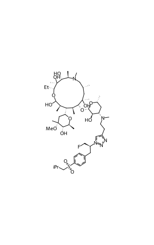 CC[C@H]1OC(O)[C@H](C)[C@@H](C2C[C@@](C)(OC)[C@@H](O)[C@H](C)O2)[C@H](C)[C@@H](O[C@@H]2O[C@H](C)C[C@H](N(C)CCc3cn([C@H](CF)Cc4ccc(S(=O)(=O)CC(C)C)cc4)nn3)[C@H]2O)[C@](C)(O)C[C@@H](C)CN(C)[C@H](C)[C@@H](O)[C@]1(C)O